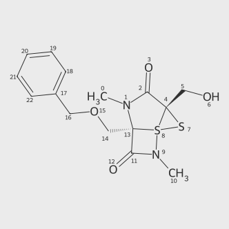 CN1C(=O)[C@]2(CO)SS23N(C)C(=O)[C@@]13COCc1ccccc1